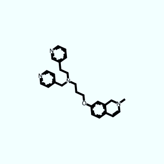 CN1C=Cc2ccc(OCCCN(CCc3cccnc3)Cc3ccncc3)cc2C1